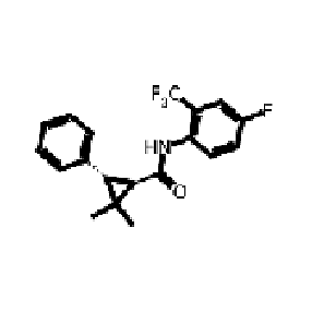 CC1(C)[C@H](C(=O)Nc2ccc(F)cc2C(F)(F)F)[C@H]1c1ccccc1